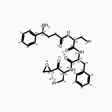 CC(C)C[C@H](NC(=O)CC[C@H](N)c1ccccc1)C(=O)N[C@@H](Cc1ccccc1)C(=O)N[C@@H](CC(C)C)C(=O)[C@@]1(C)CO1